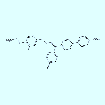 COc1ccc(-c2ccc(C(=CCSc3ccc(OCC(=O)O)c(C)c3)c3ccc(Cl)cc3)cc2)cc1